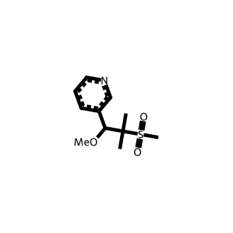 COC(c1cccnc1)C(C)(C)S(C)(=O)=O